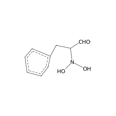 O=[C]C(Cc1ccccc1)N(O)O